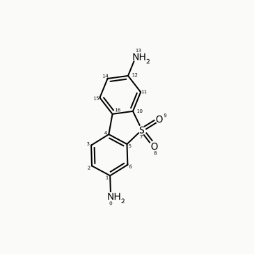 Nc1ccc2c(c1)S(=O)(=O)c1cc(N)ccc1-2